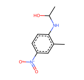 Cc1cc([N+](=O)[O-])ccc1NC(C)O